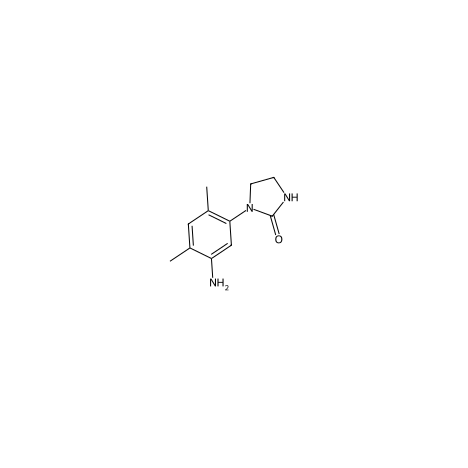 Cc1cc(C)c(N2CCNC2=O)cc1N